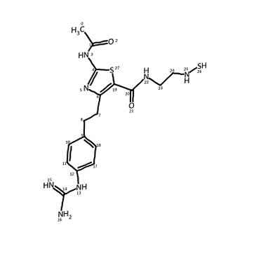 CC(=O)Nc1nc(CCc2ccc(NC(=N)N)cc2)c(C(=O)NCCNS)s1